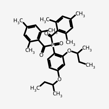 CCC(C)Oc1ccc(P(=O)(C(=O)c2c(C)cc(C)cc2C)C(=O)c2c(C)cc(C)cc2C)c(OC(C)CC)c1